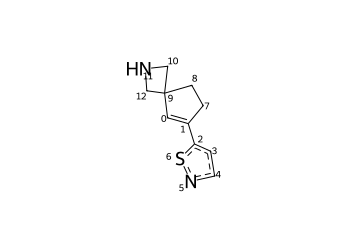 C1=C(c2ccns2)CCC12CNC2